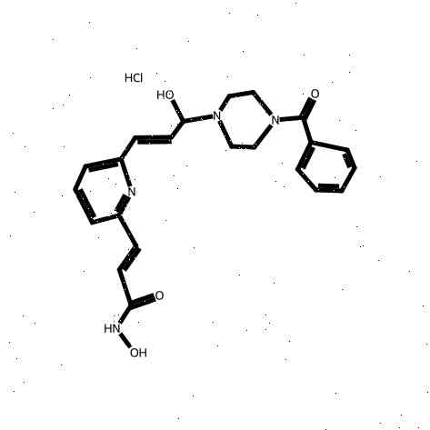 Cl.O=C(/C=C/c1cccc(/C=C/C(O)N2CCN(C(=O)c3ccccc3)CC2)n1)NO